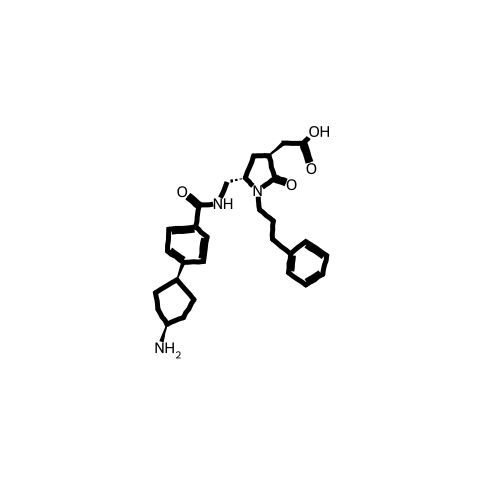 N[C@H]1CC[C@@H](c2ccc(C(=O)NC[C@@H]3C[C@@H](CC(=O)O)C(=O)N3CCCc3ccccc3)cc2)CC1